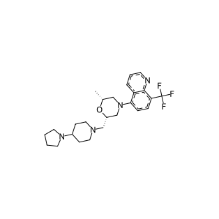 C[C@@H]1CN(c2ccc(C(F)(F)F)c3ncccc23)C[C@H](CN2CCC(N3CCCC3)CC2)O1